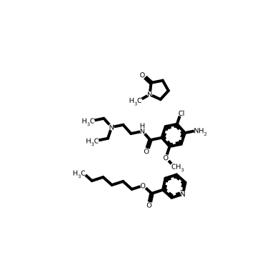 CCCCCCOC(=O)c1cccnc1.CCN(CC)CCNC(=O)c1cc(Cl)c(N)cc1OC.CN1CCCC1=O